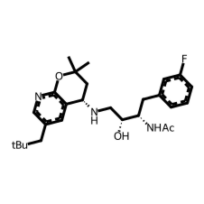 CC(=O)N[C@@H](Cc1cccc(F)c1)[C@H](O)CN[C@H]1CC(C)(C)Oc2ncc(CC(C)(C)C)cc21